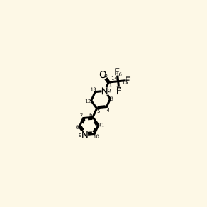 O=C(N1CC=C(c2ccncc2)CC1)C(F)(F)F